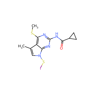 CSc1nc(NC(=O)C2CC2)nc2c1c(C)cn2SI